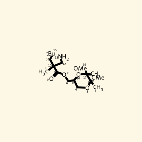 COC1(C)OCC(COC(=O)C(C)(CN)CC(C)(C)C)OC1(C)OC